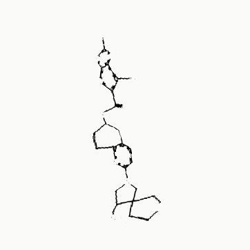 Cc1nc2sc(C(=O)NC3CCc4nc(N5CC(N)C6(CCOC6)C5)ccc4C3)c(N)c2s1